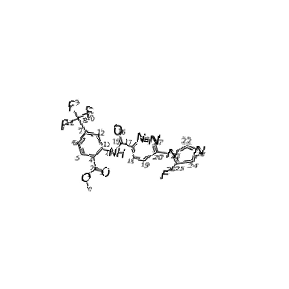 COC(=O)c1ccc(C(F)(F)F)cc1NC(=O)c1ccc(-n2cncc2F)nn1